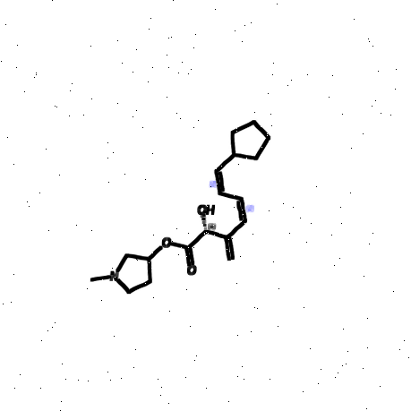 C=C(/C=C\C=C/C1CCCC1)[C@@H](O)C(=O)OC1CCN(C)C1